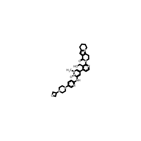 CN1C=C(c2ccnc(N3CCc4c(cc5n4CCCC5)C3=O)c2CO)C=C(Nc2ccc(N3CCN(C4COC4)CC3)cn2)[S+]1[O-]